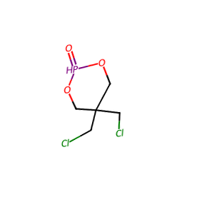 O=[PH]1OCC(CCl)(CCl)CO1